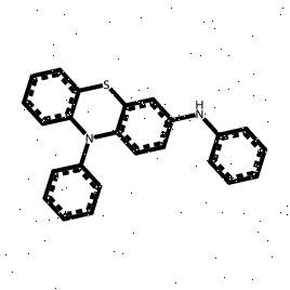 c1ccc(Nc2ccc3c(c2)Sc2ccccc2N3c2ccccc2)cc1